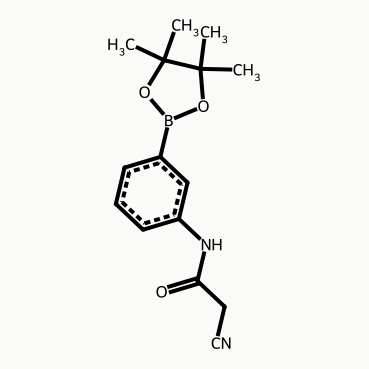 CC1(C)OB(c2cccc(NC(=O)CC#N)c2)OC1(C)C